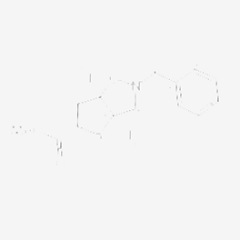 COC(=O)[C@H]1C[C@@H]2CN(Cc3ccccc3)O[C@@H]2C1